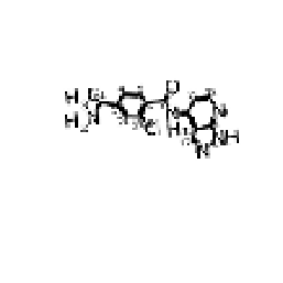 CC(N)c1ccc(C(=O)Nc2ccnc3[nH]ncc23)c(Cl)c1